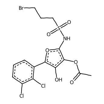 CC(=O)Oc1c(NS(=O)(=O)CCCBr)oc(-c2cccc(Cl)c2Cl)c1O